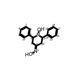 ON=C1CC(c2ccccc2)N(O)C(c2ccccc2)C1